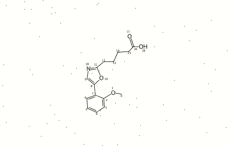 COc1ccccc1-c1cnc(CCCCC(=O)O)o1